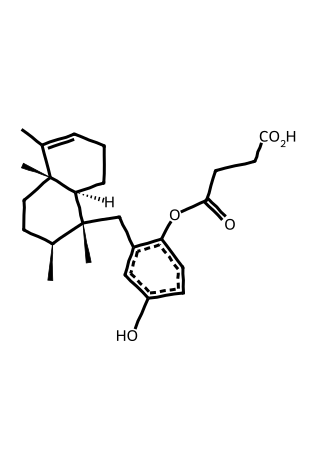 CC1=CCC[C@H]2[C@](C)(Cc3cc(O)ccc3OC(=O)CCC(=O)O)[C@@H](C)CC[C@]12C